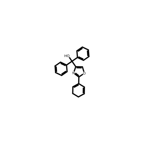 OC(c1ccccc1)(c1ccccc1)c1coc(C2=CCCC=C2)n1